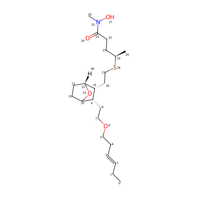 CCC=CCCOCC[C@@H]1C2CC[C@@H](O2)[C@@H]1CCS[C@H](C)CCC(=O)N(C)O